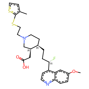 COc1ccc2nccc([C@@H](F)CC[C@@H]3CCN(CCSc4sccc4C)C[C@@H]3CC(=O)O)c2c1